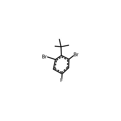 CC(C)(C)c1c(Br)cc(F)cc1Br